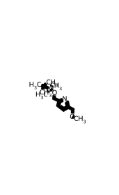 COCc1ccc(CO[Si](C)(C)C(C)(C)C)nc1